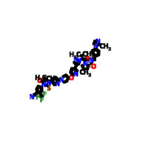 Cc1nccn1-c1ccc(CNC(=O)[C@@H]2CC(C)CN2C(=O)[C@@H](C(C)C)n2cc(-c3ccc(OC4CCN(c5ccc(N6C(=S)N(c7ccc(C#N)c(C(F)(F)F)c7)C(=O)C6(C)C)cn5)CC4)nc3)cn2)cc1